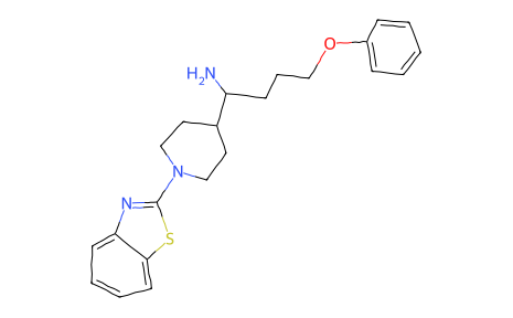 NC(CCCOc1ccccc1)C1CCN(c2nc3ccccc3s2)CC1